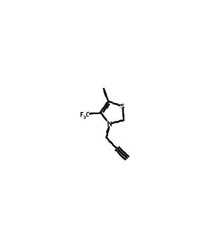 C#CCN1CSC(C)=C1C(F)(F)F